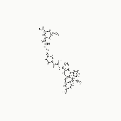 CN(CC(=O)Nc1ccc(OCCNC(=O)c2cc([N+](=O)[O-])cc([N+](=O)[O-])c2)cc1)c1ccc2c(c1)Oc1cc(O)ccc1C21OC(=O)c2ccccc21